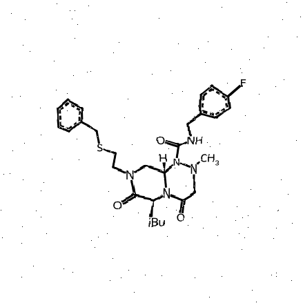 CCC(C)[C@H]1C(=O)N(CCSCc2ccccc2)C[C@H]2N1C(=O)CN(C)N2C(=O)NCc1ccc(F)cc1